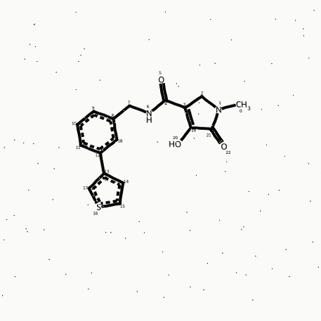 CN1CC(C(=O)NCc2cccc(-c3ccsc3)c2)=C(O)C1=O